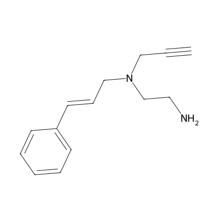 C#CCN(C/C=C/c1ccccc1)CCN